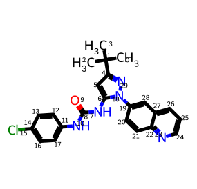 CC(C)(C)c1cc(NC(=O)Nc2ccc(Cl)cc2)n(-c2ccc3ncccc3c2)n1